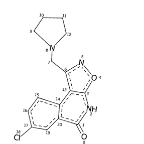 O=c1[nH]c2onc(CN3CCCC3)c2c2ccc(Cl)cc12